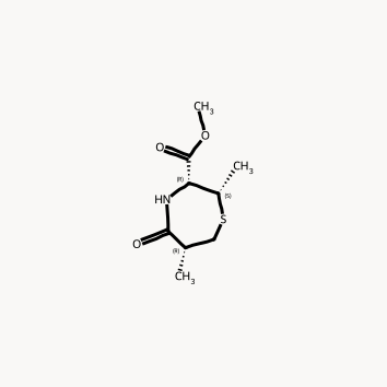 COC(=O)[C@H]1NC(=O)[C@@H](C)CS[C@H]1C